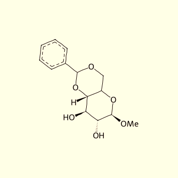 CO[C@@H]1OC2COC(c3ccccc3)O[C@H]2[C@H](O)[C@H]1O